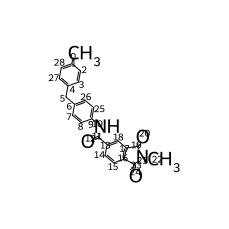 Cc1ccc(Cc2ccc(NC(=O)c3ccc4c(c3)C(=O)N(C)C4=O)cc2)cc1